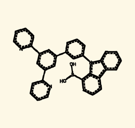 OB(O)c1cccc2c3ccccc3n(-c3cccc(-c4cc(-c5ccccn5)cc(-c5ccccn5)c4)c3)c12